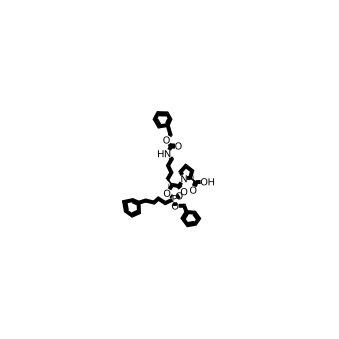 O=C(NCCCC[C@H](OP(=O)(CCCCc1ccccc1)OCc1ccccc1)C(=O)N1CCC[C@H]1C(=O)O)OCc1ccccc1